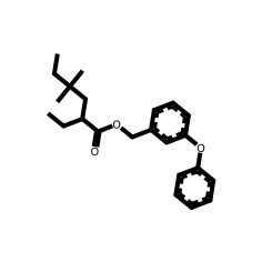 CCC(CC(C)(C)CC)C(=O)OCc1cccc(Oc2ccccc2)c1